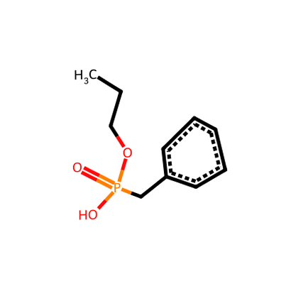 CCCOP(=O)(O)Cc1ccccc1